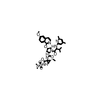 CC[C@@H]1C[C@]1(NC(=O)[C@@H]1C[C@@H](Oc2nccc3cc(OC)ccc23)CN1C(=O)C(Nc1cc(C)cc(C)n1)C(C)C)C(=O)NS(=O)(=O)N(C)C